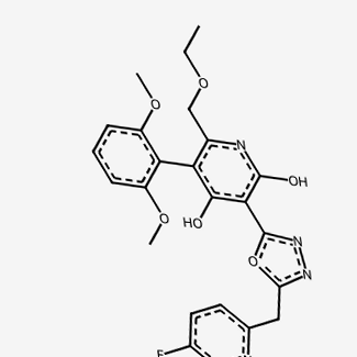 CCOCc1nc(O)c(-c2nnc(Cc3ccc(F)cn3)o2)c(O)c1-c1c(OC)cccc1OC